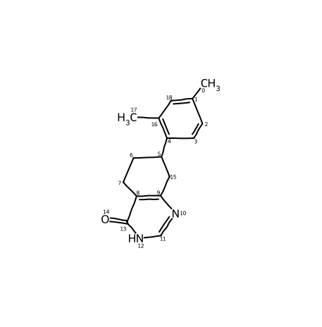 Cc1ccc(C2CCc3c(nc[nH]c3=O)C2)c(C)c1